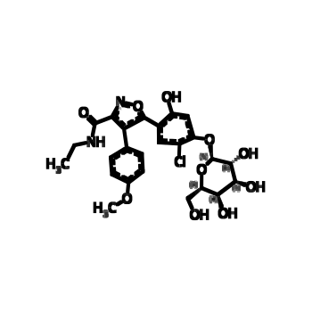 CCNC(=O)c1noc(-c2cc(Cl)c(O[C@@H]3O[C@H](CO)[C@H](O)[C@H](O)[C@H]3O)cc2O)c1-c1ccc(OC)cc1